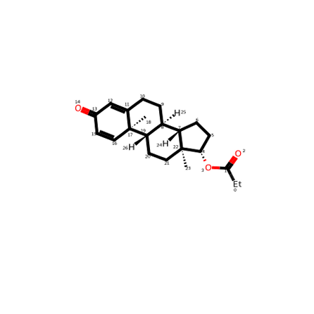 CCC(=O)O[C@H]1CC[C@H]2[C@@H]3CCC4=CC(=O)C=C[C@]4(C)[C@H]3CC[C@]12C